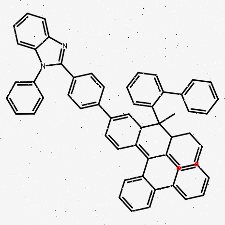 CC1(c2ccccc2-c2ccccc2)C2C=C(c3ccc(-c4nc5ccccc5n4-c4ccccc4)cc3)C=CC2=C(c2ccccc2-c2ccccc2)C2=CC=CCC21